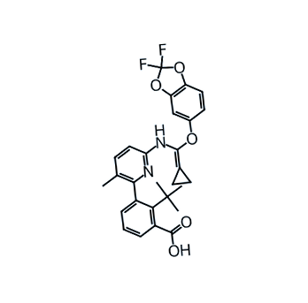 Cc1ccc(NC(Oc2ccc3c(c2)OC(F)(F)O3)=C2CC2)nc1-c1cccc(C(=O)O)c1C(C)(C)C